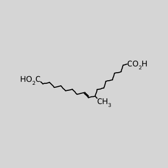 CC(/C=C/CCCCCCCC(=O)O)CCCCCCCC(=O)O